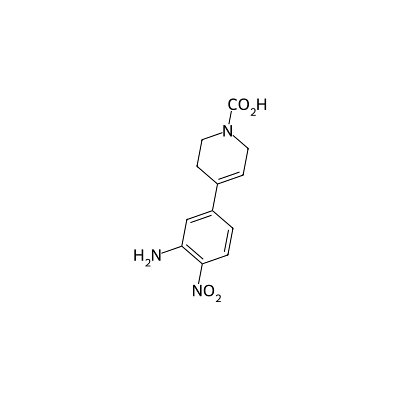 Nc1cc(C2=CCN(C(=O)O)CC2)ccc1[N+](=O)[O-]